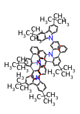 CC(C)(C)c1cc(-c2ccccc2)c(N(c2cccc(N(c3cccc(-n4c5ccc(C(C)(C)C)cc5c5cc(C(C)(C)C)ccc54)c3)c3c(-c4ccccc4)cc(C(C)(C)C)cc3-c3ccccc3)c2)c2cccc(-n3c4ccc(C(C)(C)C)cc4c4cc(C(C)(C)C)ccc43)c2)c(-c2ccccc2)c1